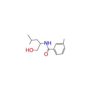 Cc1cccc(C(=O)NC(CO)CC(C)C)c1